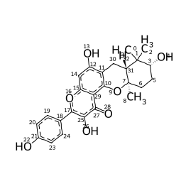 CC1(C)[C@H](O)CC[C@@]2(C)Oc3c(c(O)cc4oc(-c5ccc(O)cc5)c(O)c(=O)c34)C[C@H]12